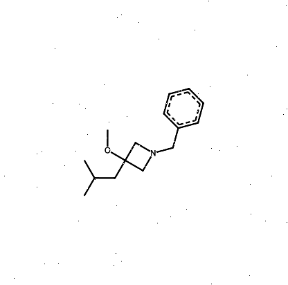 COC1(CC(C)C)CN(Cc2ccccc2)C1